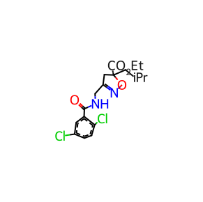 CCOC(=O)C1(CC(C)C)CC(CNC(=O)c2cc(Cl)ccc2Cl)=NO1